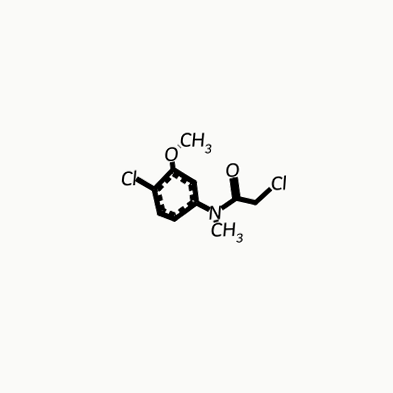 COc1cc(N(C)C(=O)CCl)ccc1Cl